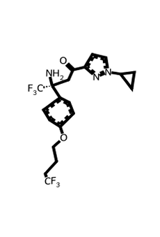 N[C@@](CC(=O)c1ccn(C2CC2)n1)(c1ccc(OCCCC(F)(F)F)cc1)C(F)(F)F